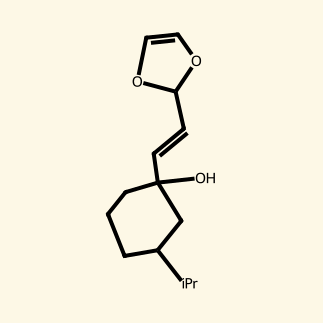 CC(C)C1CCCC(O)(C=CC2OC=CO2)C1